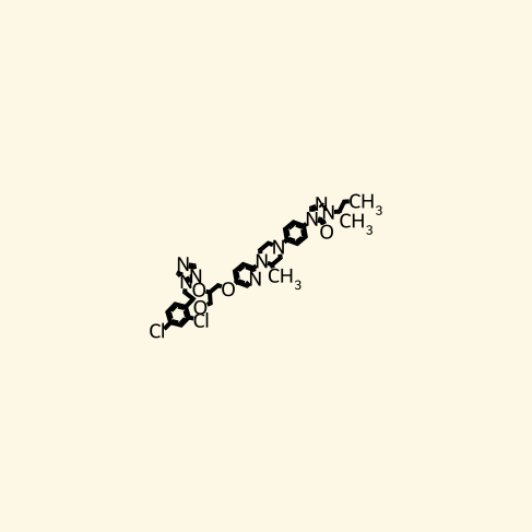 CCC(C)n1ncn(-c2ccc(N3CCN(c4ccc(OCC5COC(Cn6cncn6)(c6ccc(Cl)cc6Cl)O5)cn4)C(C)C3)cc2)c1=O